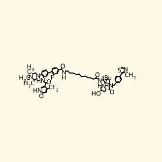 Cc1ncsc1-c1ccc(CNC(=O)[C@@H]2C[C@@H](O)CN2C(=O)[C@@H](NC(=O)CCCCCCCCCCNC(=O)c2ccc(-c3ccc(N4C[C@@H](C)N(C)[C@@H](C)C4)c(NC(=O)c4c[nH]c(=O)cc4C(F)(F)F)c3)c(F)c2)C(C)(C)C)cc1